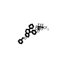 O=S(=O)(Oc1cccc(C2=C(c3ccccc3)CCc3cc(OCc4ccccc4)ccc32)c1)C(F)(F)C(F)(F)C(F)(F)C(F)(F)F